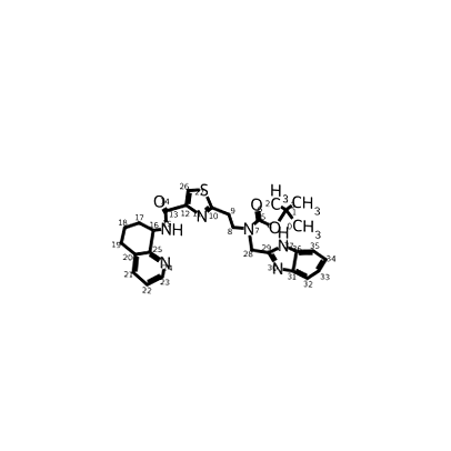 CC(C)(C)OC(=O)N(CCc1nc(C(=O)NC2CCCc3cccnc32)cs1)Cc1nc2ccccc2[nH]1